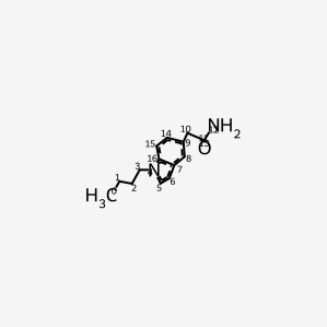 CCCCn1ccc2cc(CC(N)=O)ccc21